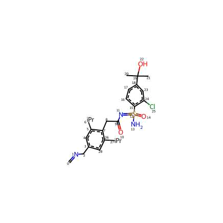 C=NCc1cc(C(C)C)c(CC(=O)N=S(N)(=O)c2ccc(C(C)(C)O)cc2Cl)c(C(C)C)c1